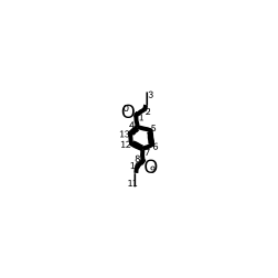 O=C(CI)c1ccc(C(=O)CI)cc1